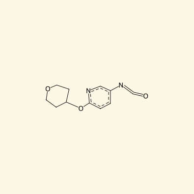 O=C=Nc1ccc(OC2CCOCC2)nc1